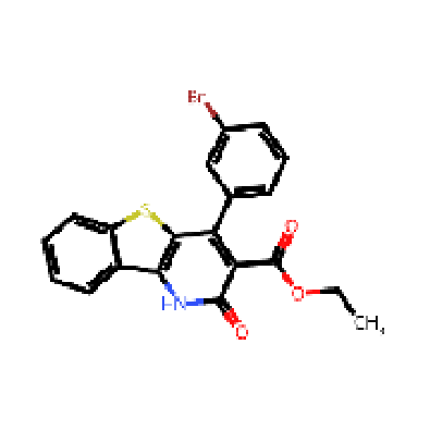 CCOC(=O)c1c(-c2cccc(Br)c2)c2sc3ccccc3c2[nH]c1=O